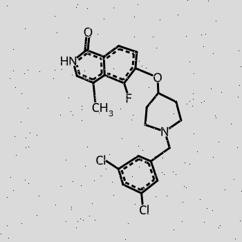 Cc1c[nH]c(=O)c2ccc(OC3CCN(Cc4cc(Cl)cc(Cl)c4)CC3)c(F)c12